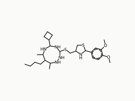 CCCCC1C(C)NNC(SCC2CSC(c3ccc(OC)c(OC)c3)N2)NC(C2CCC2)NC1C